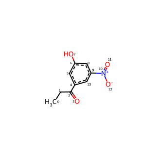 CCC(=O)c1cc(O)cc([N+](=O)[O-])c1